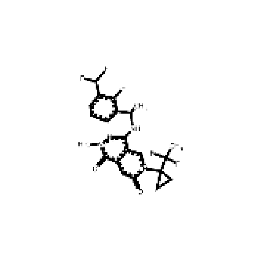 CC(Nc1nn(C)c(=O)c2cc(=O)n(C3(C(C)(F)F)CC3)cc12)c1cccc(C(F)F)c1F